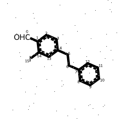 O=Cc1ccc(CCc2ccccc2)cc1I